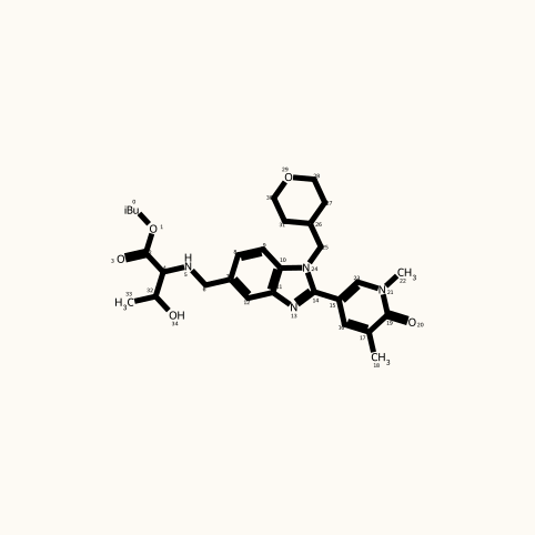 CCC(C)OC(=O)C(NCc1ccc2c(c1)nc(-c1cc(C)c(=O)n(C)c1)n2CC1CCOCC1)C(C)O